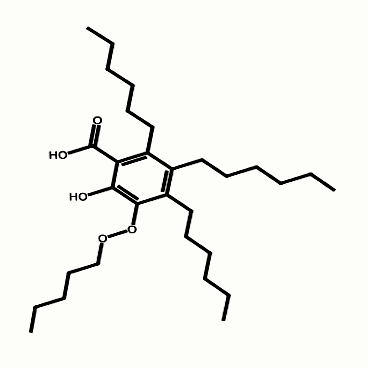 CCCCCCc1c(CCCCCC)c(OOCCCCC)c(O)c(C(=O)O)c1CCCCCC